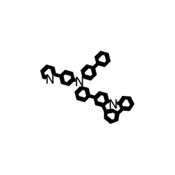 c1ccc(-c2ccc(N(c3ccc(-c4ccccn4)cc3)c3cccc(-c4ccc5c(c4)c4cccc6c7ccccc7n5c64)c3)cc2)cc1